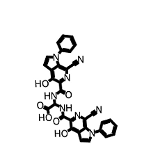 N#Cc1nc(C(=O)NC(NC(=O)c2nc(C#N)c3c(ccn3-c3ccccc3)c2O)C(=O)O)c(O)c2ccn(-c3ccccc3)c12